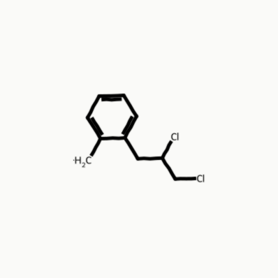 [CH2]c1ccccc1CC(Cl)CCl